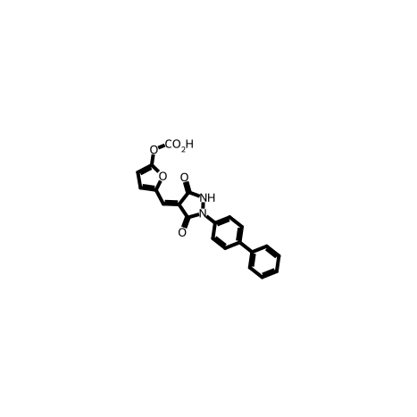 O=C(O)Oc1ccc(C=C2C(=O)NN(c3ccc(-c4ccccc4)cc3)C2=O)o1